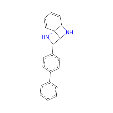 C1=CC2NC3C(c4ccc(-c5ccccc5)cc4)N[C@]23C=C1